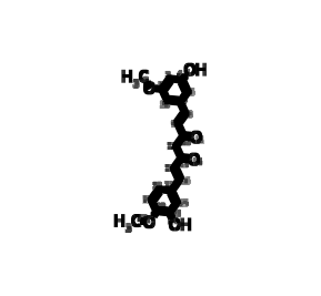 COc1cc(O)cc(C=CC(=O)CC(=O)C=Cc2ccc(OC)c(O)c2)c1